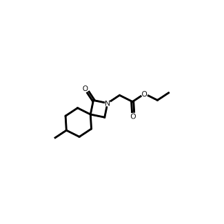 CCOC(=O)CN1CC2(CCC(C)CC2)C1=O